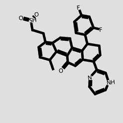 CC1C=CC(CC[SH](=O)=O)=c2ccc3c(c21)C(=O)C=C1C(C2=CNC=CC=N2)=CCC(c2ccc(F)cc2F)C=31